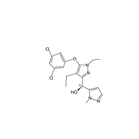 CCc1c([C@H](O)c2ccnn2C)nn(CC)c1Oc1cc(Cl)cc(Cl)c1